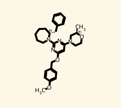 COc1ccc(COc2cc(N3CCO[C@H](C)C3)nc(N3CCCCC[C@@H]3Cc3ccccc3)n2)cc1